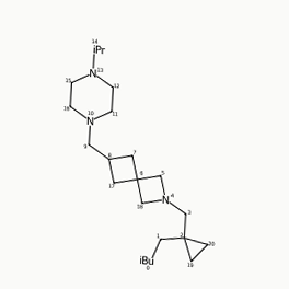 CCC(C)CC1(CN2CC3(CC(CN4CCN(C(C)C)CC4)C3)C2)CC1